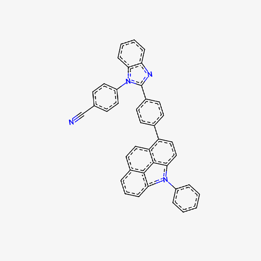 N#Cc1ccc(-n2c(-c3ccc(-c4ccc5c6c4ccc4cccc(c46)n5-c4ccccc4)cc3)nc3ccccc32)cc1